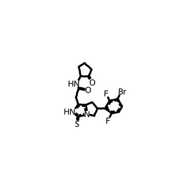 O=C(Cc1[nH]c(=S)n2c1CC(c1c(F)ccc(Br)c1F)C2)NC1CCCC1=O